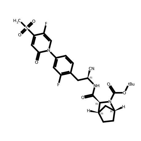 CC(C)(C)OC(=O)N1[C@@H]2CC[C@@H](C2)[C@H]1C(=O)N[C@H](C#N)Cc1ccc(-n2cc(F)c(S(C)(=O)=O)cc2=O)cc1F